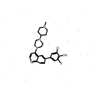 CN1CCC(N2CCN(c3[c]cnc4ccc(-c5cc(F)c(O)c(Cl)c5)cc34)CC2)CC1